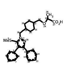 CSc1c(-c2ccccc2)c(-c2ccccc2)nn1CC1CCC(COC(C)C(=O)O)CC1